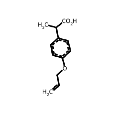 C=CCOc1ccc(C(C)C(=O)O)cc1